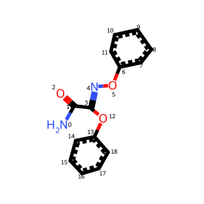 NC(=O)C(=NOc1ccccc1)Oc1ccccc1